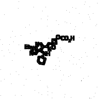 CCn1ncc2c(NC3CCCCC3)c(C3=NOC4(C3)CC(OC(=O)O)C4)cnc21